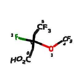 O=C(O)C(F)(OC(F)(F)F)C(F)(F)F